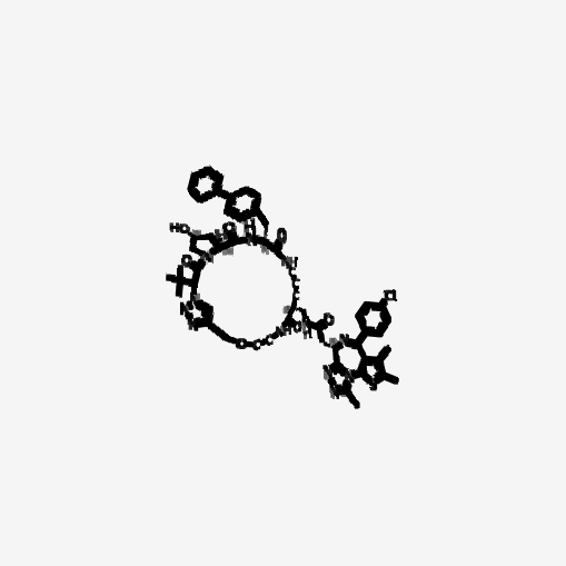 Cc1sc2c(c1C)C(c1ccc(Cl)cc1)=N[C@@H](CC(=O)NC[C@H]1CCCNC(=O)[C@@H](Cc3ccc(-c4ccccc4)cc3)NC(=O)[C@@H]3C[C@@H](O)CN3C(=O)C(C(C)(C)C)n3cc(nn3)COCCNC1=O)c1nnc(C)n1-2